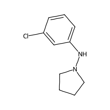 Clc1cccc(NN2CCCC2)c1